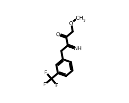 COCC(=O)C(=N)Cc1cccc(C(F)(F)F)c1